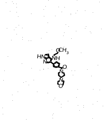 COCCNc1c(-c2ccc(C(=O)N3CCC(N4CCOCC4)CC3)cc2)cnc2[nH]ccc12